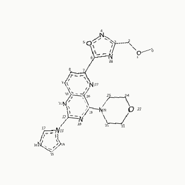 COCc1noc(-c2ccc3nc(-n4ccnc4)nc(N4CCOCC4)c3n2)n1